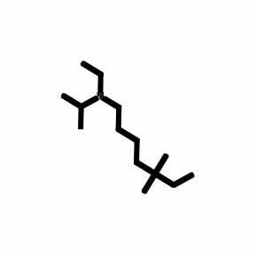 CCN(CCCCC(C)(C)CC)C(C)C